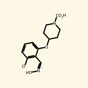 O=C(O)N1CCC(Oc2cccc(Cl)c2/C=N\O)CC1